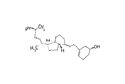 CC(C)[C@@H](C)/C=C/[C@@H](C)[C@H]1CC[C@H]2/C(=C/CC3=CCC[C@H](O)C3)CCC[C@H]12